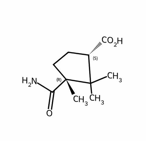 CC1(C)[C@@H](C(=O)O)CC[C@@]1(C)C(N)=O